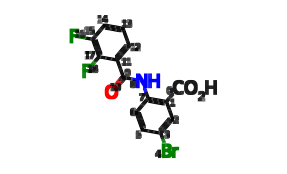 O=C(O)c1cc(Br)ccc1NC(=O)c1cccc(F)c1F